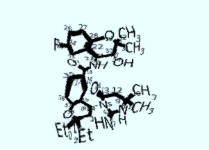 CCC1(CC)C[C@@H](N2C(=N)NC(C)(C)CC2=O)c2cc(C(=O)N[C@H]3c4cc(F)ccc4OC(C)(C)[C@@H]3O)ccc2O1